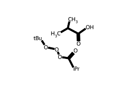 CC(C)C(=O)O.CC(C)C(=O)OOOC(C)(C)C